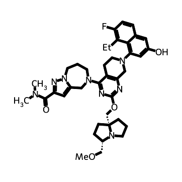 CCc1c(F)ccc2cc(O)cc(N3CCc4c(nc(OC[C@]56CCCN5[C@H](COC)CC6)nc4N4CCCn5nc(C(=O)N(C)C)cc5C4)C3)c12